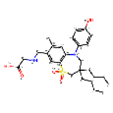 CCCCC1(CCCC)CN(c2ccc(O)cc2)c2cc(C)c(CNCC(=O)O)cc2S(=O)(=O)C1